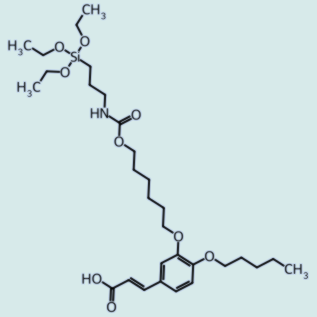 CCCCCOc1ccc(C=CC(=O)O)cc1OCCCCCCOC(=O)NCCC[Si](OCC)(OCC)OCC